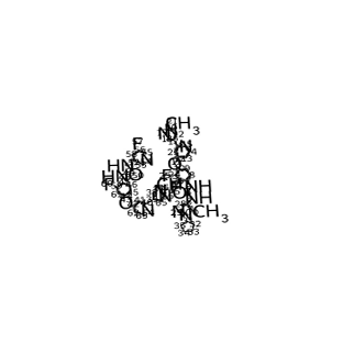 Cc1c(NC(=O)Nc2ccc(Oc3ccnc(-c4cnn(C)c4)c3)c(F)c2F)cnn1C1CCCC1.Cn1cc(-c2cc(Oc3ccc(NC(=O)Nc4cncc(F)c4)c(F)c3)ccn2)cn1